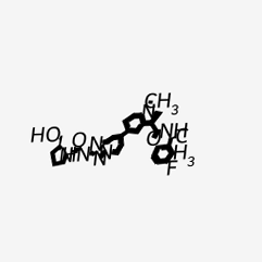 C[C@H](NC(=O)c1cn(C)c2ccc(-c3ccn4nc(NC(=O)N5CCC[C@H]5CO)nc4c3)cc12)c1cc#cc(F)c1